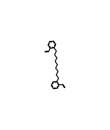 C=Cc1ccccc1CCCCCCCCCc1ccccc1C=C